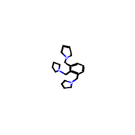 c1cc(CN2CCCC2)c(CN2CCCC2)c(CN2CCCC2)c1